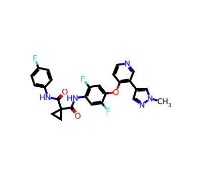 Cn1cc(-c2cnccc2Oc2cc(F)c(NC(=O)C3(C(=O)Nc4ccc(F)cc4)CC3)cc2F)cn1